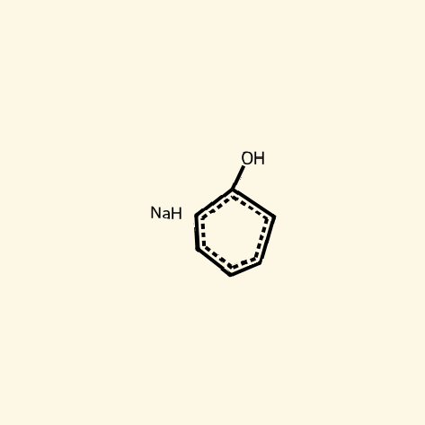 Oc1ccccc1.[NaH]